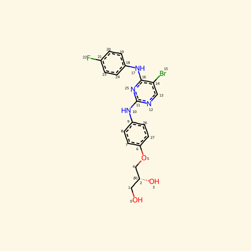 OC[C@@H](O)COc1ccc(Nc2ncc(Br)c(Nc3ccc(F)cc3)n2)cc1